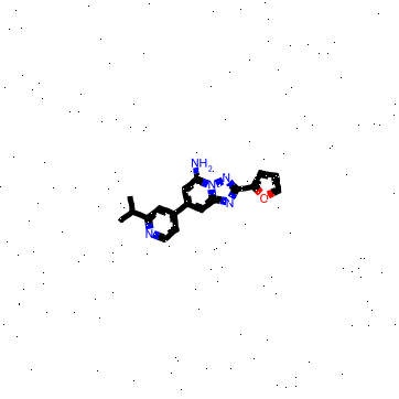 CC(C)c1cc(-c2cc(N)n3nc(-c4ccco4)nc3c2)ccn1